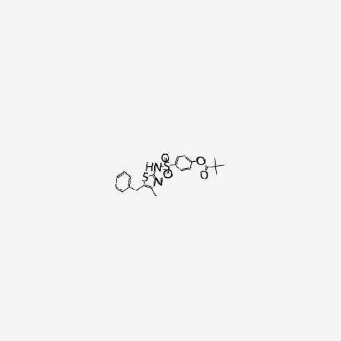 Cc1nc(NS(=O)(=O)c2ccc(OC(=O)C(C)(C)C)cc2)sc1Cc1ccccc1